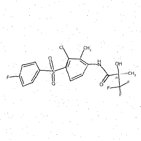 Cc1c(NC(=O)[C@@](C)(O)C(F)(F)F)ccc(S(=O)(=O)c2ccc(F)cc2)c1Cl